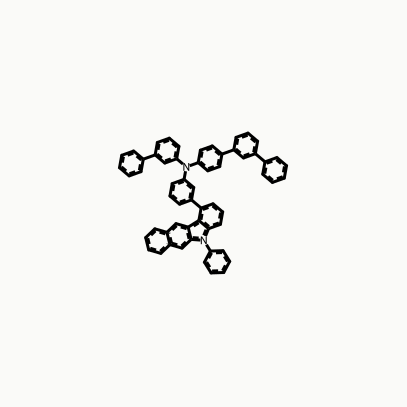 c1ccc(-c2cccc(-c3ccc(N(c4cccc(-c5ccccc5)c4)c4cccc(-c5cccc6c5c5cc7ccccc7cc5n6-c5ccccc5)c4)cc3)c2)cc1